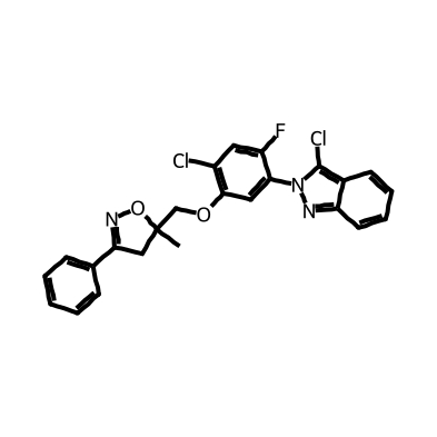 CC1(COc2cc(-n3nc4ccccc4c3Cl)c(F)cc2Cl)CC(c2ccccc2)=NO1